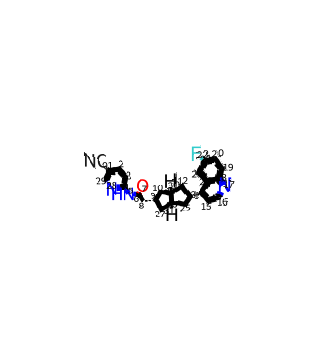 N#Cc1ccc(NC(=O)C[C@@H]2C[C@@H]3C[C@H](c4ccnc5ccc(F)cc45)C[C@@H]3C2)nc1